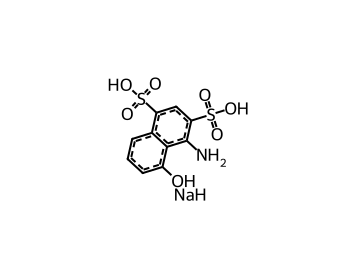 Nc1c(S(=O)(=O)O)cc(S(=O)(=O)O)c2cccc(O)c12.[NaH]